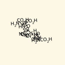 CCNC(=O)[C@H](CSC(CC(=O)CC(SC[C@H](NC(=O)CC[C@H](N)C(=O)O)C(=O)CCC(=O)O)c1cnccn1)c1cnccn1)NC(=O)CC[C@@H](N)C(=O)O